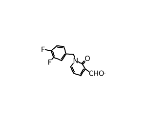 O=[C]c1cccn(Cc2ccc(F)c(F)c2)c1=O